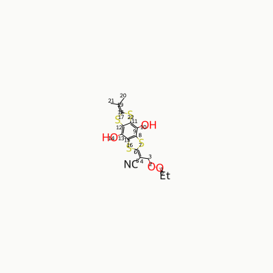 CCOOCC(C#N)=C1Sc2c(O)c3c(c(O)c2S1)SC(=C(C)C)S3